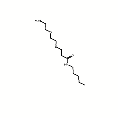 CNCCOCCOCCC(=O)NCCCCI